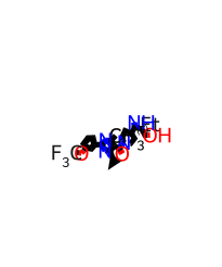 CC[C@H](CO)C(=N)C1CCN(C(=O)c2c(C)nc(-c3cccc(OC(F)(F)F)c3)nc2C2CC2)CC1